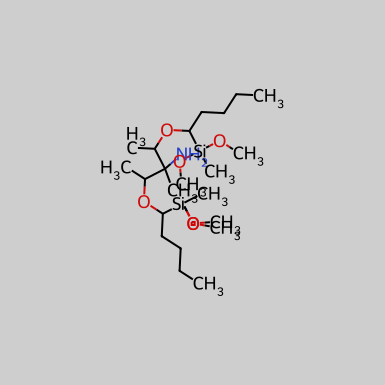 CCCCC(OC(C)C(C)(N)C(C)OC(CCCC)[Si](C)(OC)OC)[Si](C)(OC)OC